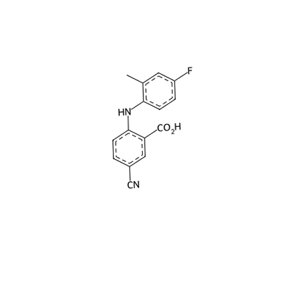 Cc1cc(F)ccc1Nc1ccc(C#N)cc1C(=O)O